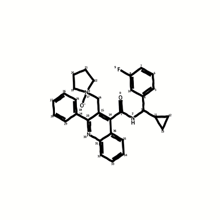 O=C(NC(c1cccc(F)c1)C1CC1)c1c(C[N+]2([O-])CCCC2)c(-c2ccccc2)nc2ccccc12